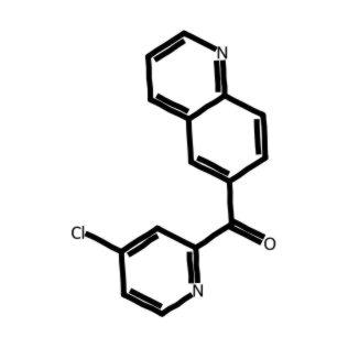 O=C(c1ccc2ncccc2c1)c1cc(Cl)ccn1